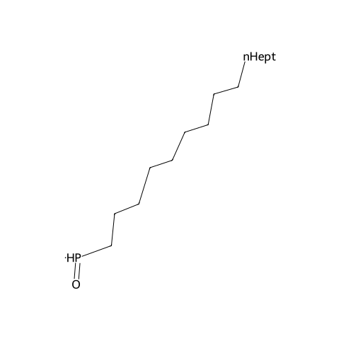 CCCCCCCCCCCCCCCC[PH]=O